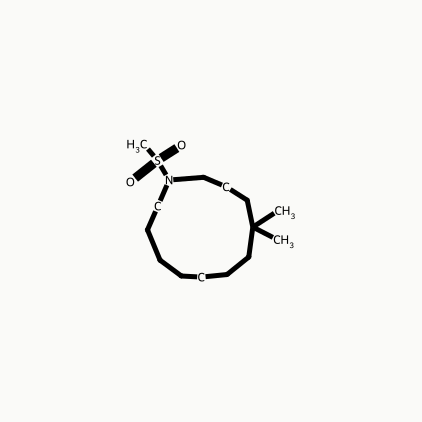 CC1(C)CCCCCCCN(S(C)(=O)=O)CCC1